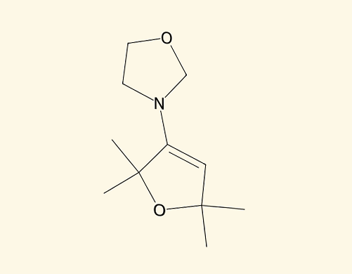 CC1(C)C=C(N2CCOC2)C(C)(C)O1